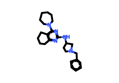 c1ccc(CN2CCC(Nc3nc4c(c(N5CCCCCC5)n3)CCCC4)C2)cc1